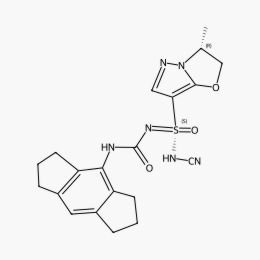 C[C@@H]1COc2c([S@@](=O)(=NC(=O)Nc3c4c(cc5c3CCC5)CCC4)NC#N)cnn21